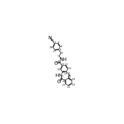 N#Cc1ccc(CCNC(=O)c2ccc3c(c2)NC(=O)c2ccccc2S3)cc1